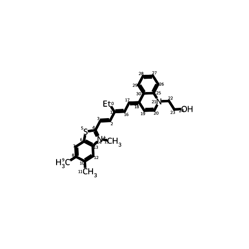 CCC(/C=C/c1sc2cc(C)c(C)cc2[n+]1C)=C\C=C1/C=CN(CCO)c2ccccc21